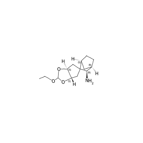 CCOC1O[C@H]2CC3(C[C@@H]2O1)[C@H]1CC[C@H](C1)[C@H]3N